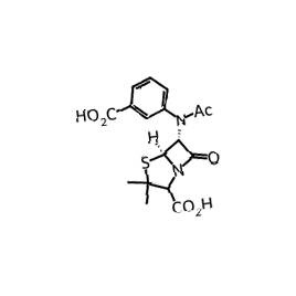 CC(=O)N(c1cccc(C(=O)O)c1)[C@@H]1C(=O)N2C(C(=O)O)C(C)(C)S[C@@H]12